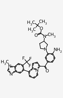 CN(C(=O)OC(C)(C)C)C1CCN(c2cc(C(=O)c3ccc4c(-c5cc6ncn(C)c6cc5C(F)(F)F)cccn34)ccc2N)C1